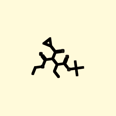 CCOC(=O)C(C(=O)C1CC1)C(CC)C(=O)OC(C)(C)C